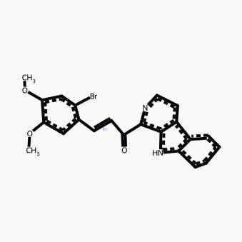 COc1cc(Br)c(/C=C/C(=O)c2nccc3c2[nH]c2ccccc23)cc1OC